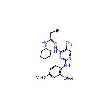 COc1ccc(Nc2ncc(C(F)(F)F)c(N[C@@H]3CCCC[C@H]3NC(=O)CC(C)C)n2)c(OC)c1